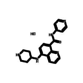 Cl.O=C(Nc1ccncc1)c1ccc(NC2CCNCC2)c2cccnc12